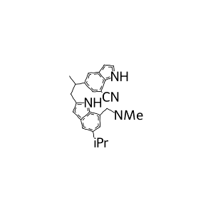 CNCc1cc(C(C)C)cc2cc(CC(C)c3cc(C#N)c4[nH]ccc4c3)[nH]c12